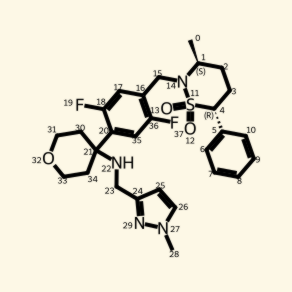 C[C@H]1CC[C@H](c2ccccc2)S(=O)(=O)N1Cc1cc(F)c(C2(NCc3ccn(C)n3)CCOCC2)cc1F